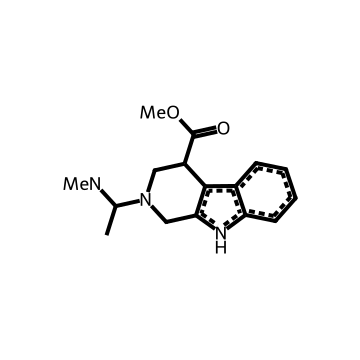 CNC(C)N1Cc2[nH]c3ccccc3c2C(C(=O)OC)C1